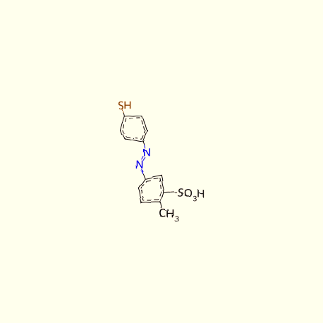 Cc1ccc(N=Nc2ccc(S)cc2)cc1S(=O)(=O)O